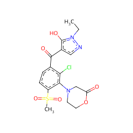 CCn1ncc(C(=O)c2ccc(S(C)(=O)=O)c(N3CCOC(=O)C3)c2Cl)c1O